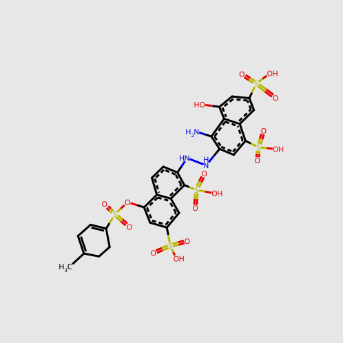 CC1=CC=C(S(=O)(=O)Oc2cc(S(=O)(=O)O)cc3c(S(=O)(=O)O)c(NNc4cc(S(=O)(=O)O)c5cc(S(=O)(=O)O)cc(O)c5c4N)ccc23)CC1